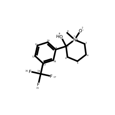 C[N+]1([O-])CCCCC1(O)c1cccc(C(F)(F)F)c1